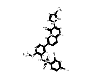 COc1ncc(-c2ccc3ncc(-n4ccc(C)n4)c(=O)n3c2)cc1NS(=O)(=O)c1ccc(F)cc1F